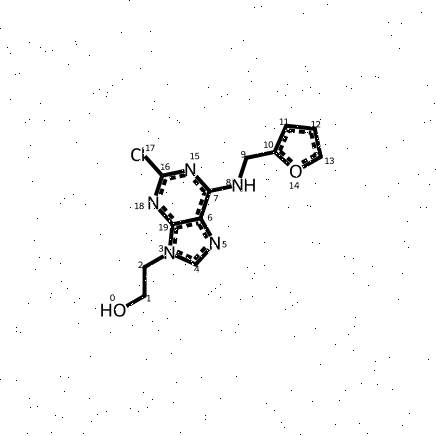 OCCn1cnc2c(NCc3ccco3)nc(Cl)nc21